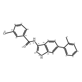 Cc1ccccc1-c1ccc2c(NC(=O)c3cccc(Cl)c3)n[nH]c2c1